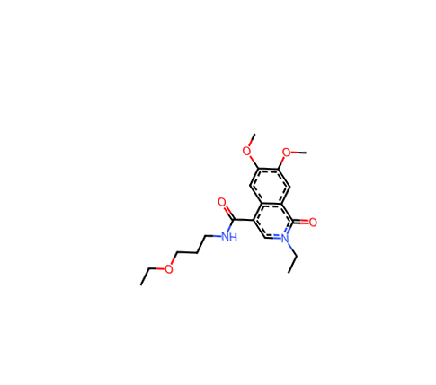 CCOCCCNC(=O)c1cn(CC)c(=O)c2cc(OC)c(OC)cc12